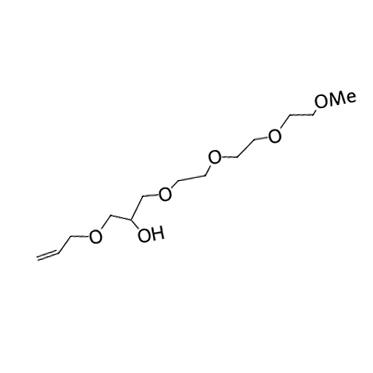 C=CCOCC(O)COCCOCCOCCOC